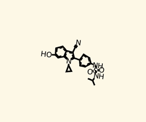 CC(C)NS(=O)(=O)Nc1ccc(-c2c(C#N)c3ccc(O)cc3n2C2CC2)cc1